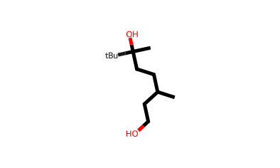 CC(CCO)CCC(C)(O)C(C)(C)C